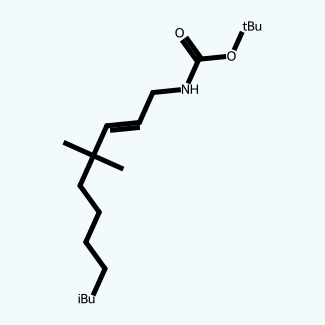 CCC(C)CCCCC(C)(C)/C=C/CNC(=O)OC(C)(C)C